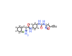 CC(C)(C)c1cc(NC(=O)Nc2ccc(NC(=O)C(N)Cc3ccccc3F)cc2)no1